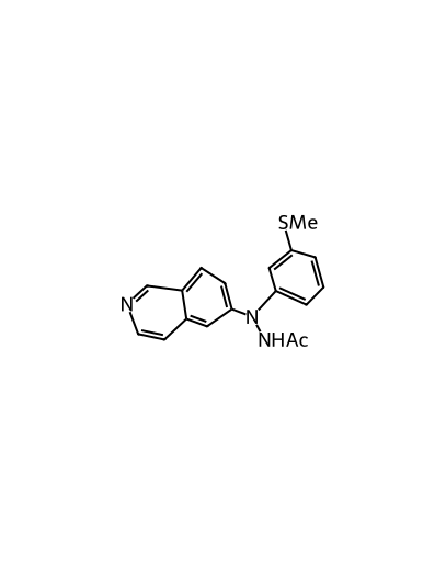 CSc1cccc(N(NC(C)=O)c2ccc3cnccc3c2)c1